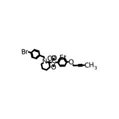 CC#CCOc1ccc(S(=O)(=O)C2(C(=O)OCC)CCCCN2Cc2ccc(Br)cc2)cc1